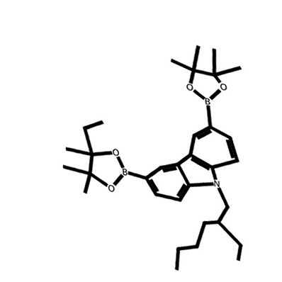 CCCCC(CC)Cn1c2ccc(B3OC(C)(C)C(C)(C)O3)cc2c2cc(B3OC(C)(C)C(C)(CC)O3)ccc21